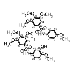 COc1ccc(NS(=O)(=O)c2cc(OC)c(OC)c(OC)c2)cc1.COc1ccc(NS(=O)(=O)c2cc(OC)c(OC)c(OC)c2)cc1O